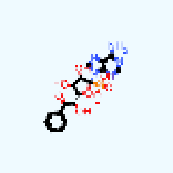 Nc1ncnc2c1ncn2[C@]1(P(=O)(O)O)O[C@H](C(O)C(=O)c2ccccc2)[C@@H](O)[C@H]1O